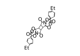 CCc1ccc(S(=O)(=O)ON2C(=O)C3C(C2=O)C2C(=O)N(OS(=O)(=O)c4ccc(CC)cc4)C(=O)C32)cc1